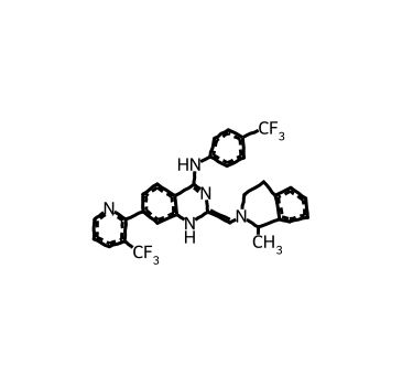 CC1c2ccccc2CCN1C=C1N=C(Nc2ccc(C(F)(F)F)cc2)c2ccc(-c3ncccc3C(F)(F)F)cc2N1